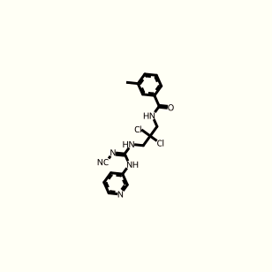 Cc1cccc(C(=O)NCC(Cl)(Cl)CNC(=NC#N)Nc2cccnc2)c1